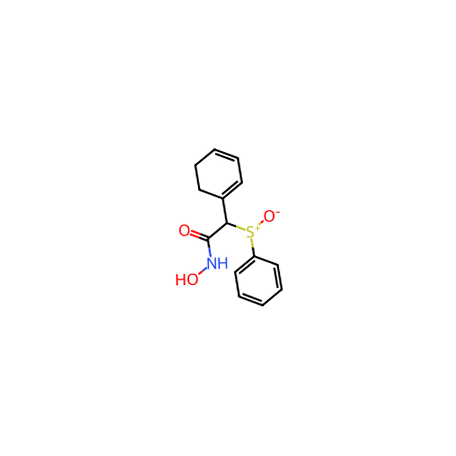 O=C(NO)C(C1=CC=CCC1)[S+]([O-])c1ccccc1